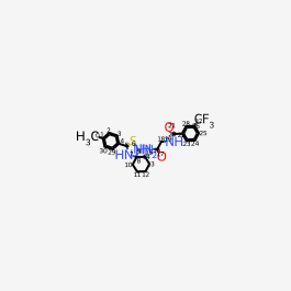 Cc1ccc(C(=S)NC2(N)CCCCC2NC(=O)CNC(=O)c2cccc(C(F)(F)F)c2)cc1